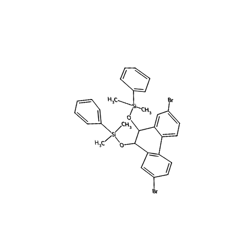 C[Si](C)(OC1c2cc(Br)ccc2-c2ccc(Br)cc2C1O[Si](C)(C)c1ccccc1)c1ccccc1